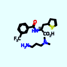 CN(C)CCCN.O=C(N[C@@H](CC1CC=CS1)C(=O)O)c1cccc(C(F)(F)F)c1